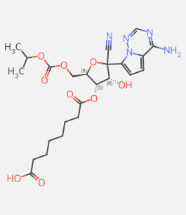 CC(C)OC(=O)OC[C@H]1OC(C#N)(c2ccc3c(N)ncnn23)[C@H](O)[C@@H]1OC(=O)CCCCCCC(=O)O